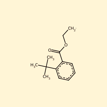 [CH2]COC(=O)c1ccccc1C(C)(C)C